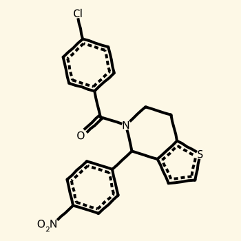 O=C(c1ccc(Cl)cc1)N1CCc2sccc2C1c1ccc([N+](=O)[O-])cc1